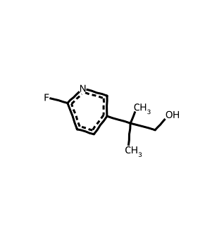 CC(C)(CO)c1ccc(F)nc1